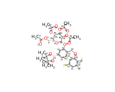 CC(=O)OC[C@H]1O[C@@H](Oc2cc(B3OC(C)(C)C(C)(C)O3)ccc2COc2c(F)c(F)cc(F)c2F)[C@H](OC(C)=O)[C@@H](OC(C)=O)[C@H]1OC(C)=O